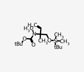 C=CC(C)(CO[Si](C)(C)C(C)(C)C)N(C)C(=O)OC(C)(C)C